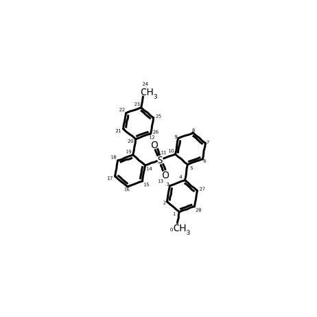 Cc1ccc(-c2ccccc2S(=O)(=O)c2ccccc2-c2ccc(C)cc2)cc1